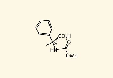 COC(=O)N[C@@](C)(C(=O)O)c1ccccc1